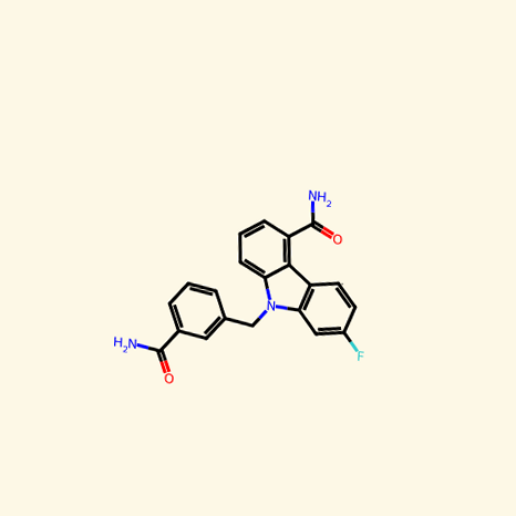 NC(=O)c1cccc(Cn2c3cc(F)c[c]c3c3c(C(N)=O)cccc32)c1